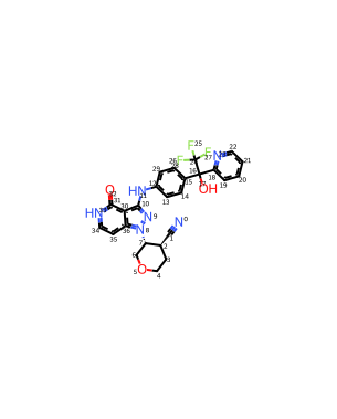 N#C[C@H]1CCOC[C@@H]1n1nc(Nc2ccc(C(O)(c3ccccn3)C(F)(F)F)cc2)c2c(=O)[nH]ccc21